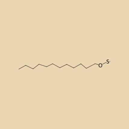 CCCCCCCCCCCCO[S]